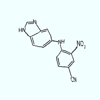 N#Cc1ccc(Nc2ccc3[nH]cnc3c2)c([N+](=O)[O-])c1